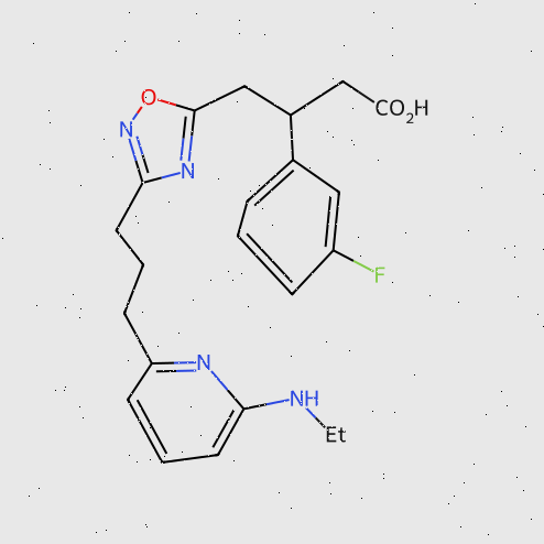 CCNc1cccc(CCCc2noc(CC(CC(=O)O)c3cccc(F)c3)n2)n1